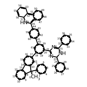 CC1(c2ccccc2)c2ccccc2-c2ccc(-c3cc(C4=NC(c5ccccc5)NC(c5ccccc5)=N4)cc(-c4ccc(C5=c6ccccc6=C6C=CC=CC6N5)cc4)c3)cc21